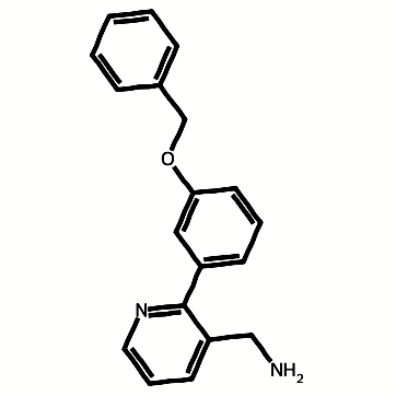 NCc1cccnc1-c1cccc(OCc2ccccc2)c1